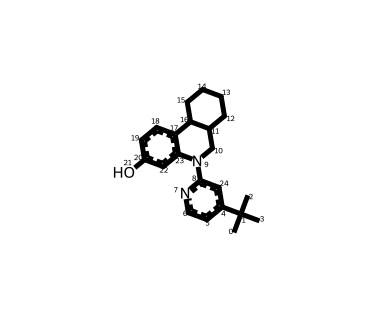 CC(C)(C)c1ccnc(N2CC3CCCCC3c3ccc(O)cc32)c1